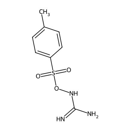 Cc1ccc(S(=O)(=O)ONC(=N)N)cc1